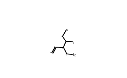 C=CC(CBr)C(C)CC